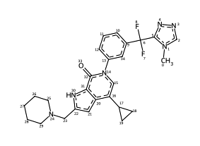 Cn1cnnc1C(F)(F)c1cccc(-n2cc(C3CC3)c3cc(CN4CCCCC4)[nH]c3c2=O)c1